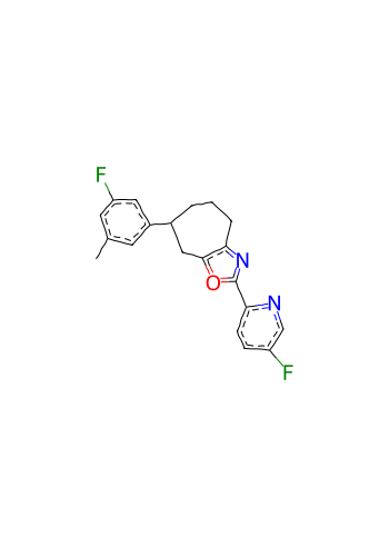 Cc1cc(F)cc(C2CCCc3nc(-c4ccc(F)cn4)oc3C2)c1